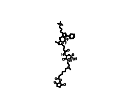 CC1=CC(CCC(=O)NC(CS(=O)(=O)O)C(=O)NCCN(C)CCCCCC(=O)ON2C(=O)CCC2=O)=[N+]2C1=Cc1c(CCC[N+](C)(C)C)cc(-c3ccccc3)n1[B-]2(F)F